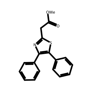 COC(=O)Cc1nc(-c2ccccc2)c(-c2ccccc2)s1